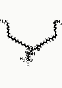 CCCCCCCC/C=C\CCCCCCCCCCCC(=O)OC[C@H](COP(=O)(O)OC[C@H](N)C(=O)O)OC(=O)CCCCCCCCCCC/C=C\CCCCCCCC